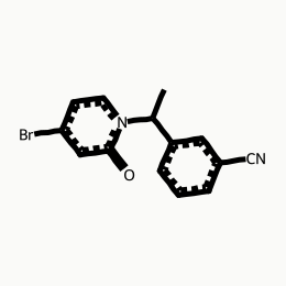 CC(c1cccc(C#N)c1)n1ccc(Br)cc1=O